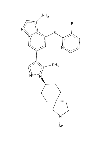 CC(=O)N1CC[C@]2(CC[C@H](n3ncc(-c4cc(Sc5ncccc5F)c5c(N)cnn5c4)c3C)CC2)C1